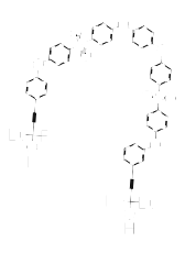 CCC(O)(C#Cc1ccc(Oc2ccc(S(=O)(=O)c3ccc(Oc4ccc(Oc5ccc(S(=O)(=O)c6ccc(Oc7cccc(C#CC(O)(CC)CC)c7)cc6)cc5)cc4)cc3)cc2)cc1)CC